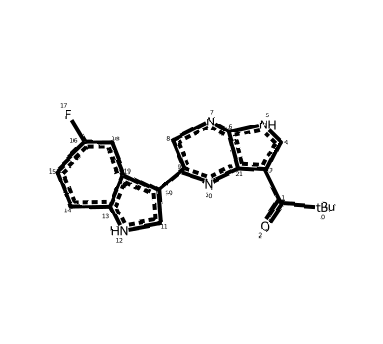 CC(C)(C)C(=O)c1c[nH]c2ncc(-c3c[nH]c4ccc(F)cc34)nc12